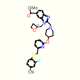 COC(=O)c1ccc2nc(CN3CCC(Oc4cccc(CSc5ccc(C#N)cc5F)n4)CC3)n(C[C@@H]3CCO3)c2c1